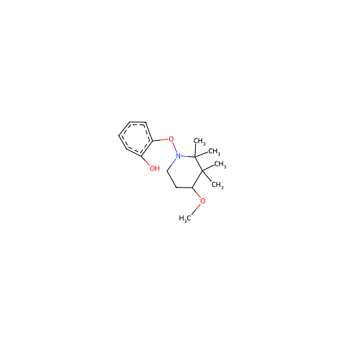 COC1CCN(Oc2ccccc2O)C(C)(C)C1(C)C